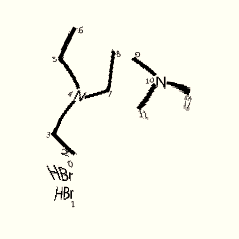 Br.Br.CCN(CC)CC.CN(C)C